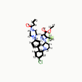 CCCC(=O)N1CCN(c2ccc(-c3ccc(Cl)cc3N3CCCC(n4ncc(C(=O)OCC)c4C(F)(F)F)C3)cc2)CC1